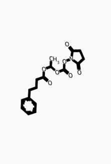 CC(OC(=O)CCCc1ccccc1)OC(=O)ON1C(=O)CCC1=O